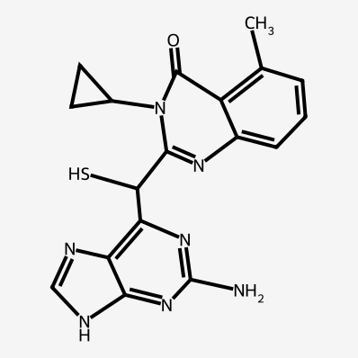 Cc1cccc2nc(C(S)c3nc(N)nc4[nH]cnc34)n(C3CC3)c(=O)c12